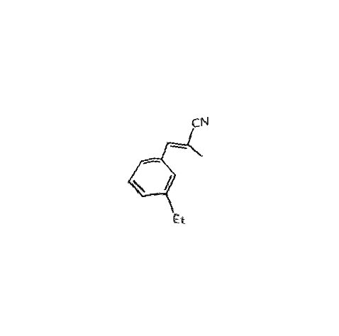 CCc1cccc(C=C(C)C#N)c1